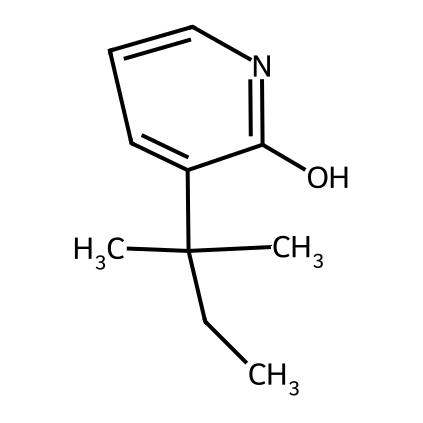 CCC(C)(C)c1cccnc1O